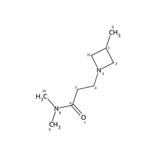 CC1CN(CCC(=O)N(C)C)C1